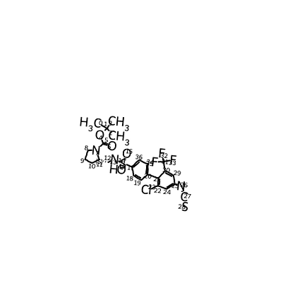 CC(C)(C)OC(=O)N1CCC[C@H]1CNS(=O)(=O)c1ccc(-c2c(Cl)cc(N=C=S)cc2C(F)(F)F)cc1